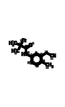 CCC(C)(C)C(=O)Nc1cc(CC#N)c(C)cn1